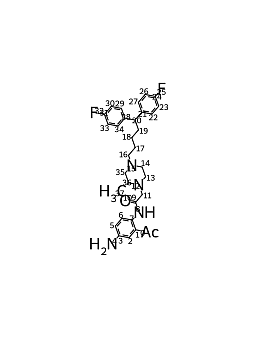 CC(=O)c1cc(N)ccc1NC(=O)CN1CCN(CCCCC(c2ccc(F)cc2)c2ccc(F)cc2)CC1C